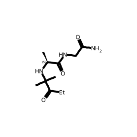 CCC(=O)C(C)(C)N[C@@H](C)C(=O)NCC(N)=O